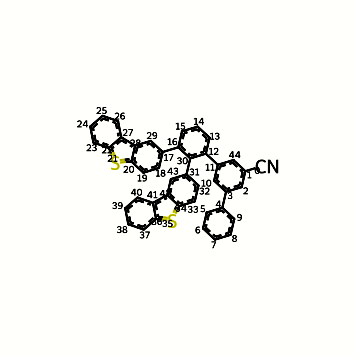 N#Cc1cc(-c2ccccc2)cc(-c2cccc(-c3ccc4sc5ccccc5c4c3)c2-c2ccc3sc4ccccc4c3c2)c1